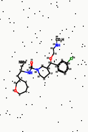 CNCC(CC1CCCCOC1)NC(=O)N1CCCC(C(OCCNC(=O)O)c2cccc(Cl)c2)C1